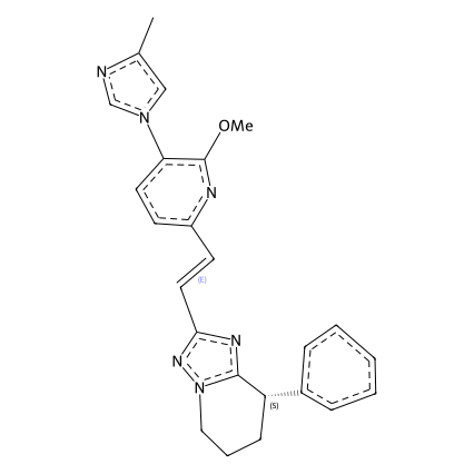 COc1nc(/C=C/c2nc3n(n2)CCC[C@H]3c2ccccc2)ccc1-n1cnc(C)c1